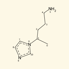 CC(CCCN)n1ccnc1